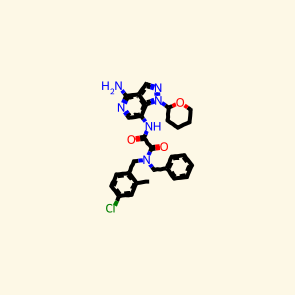 Cc1cc(Cl)ccc1CN(Cc1ccccc1)C(=O)C(=O)Nc1cnc(N)c2cnn(C3CCCCO3)c12